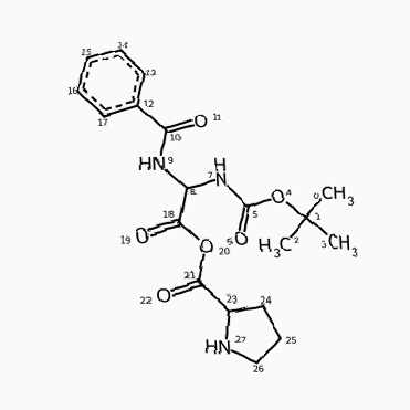 CC(C)(C)OC(=O)NC(NC(=O)c1ccccc1)C(=O)OC(=O)C1CCCN1